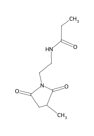 CCC(=O)NCCN1C(=O)CC(C)C1=O